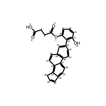 O=C(O)CCC(=O)Oc1cccc(O)c1-c1ccc2c(ccc3c4c(ccc32)C=CC4)c1